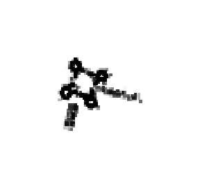 F.F.F.F.F.F.F.F.F.F.F.F.F.F.F.F.[InH3].c1ccc2c(c1)-c1nc-2nc2[nH]c(nc3nc(nc4[nH]c(n1)c1ccccc41)-c1ccccc1-3)c1ccccc21